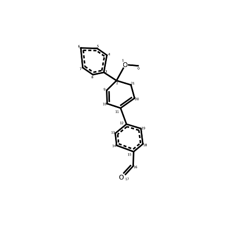 COC1(c2ccccc2)C=CC(c2ccc(C=O)cc2)=CC1